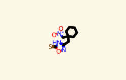 O=[N+]([O-])CC1(Cc2noc(=S)[nH]2)CCCCC1